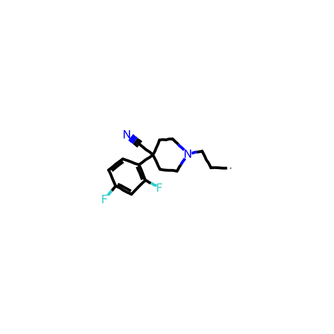 [CH2]CCN1CCC(C#N)(c2ccc(F)cc2F)CC1